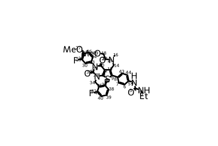 CCNC(=O)Nc1ccc(-c2sc3c(c2CN(C)CCOC)c(=O)n(-c2ccc(OC)c(F)c2)c(=O)n3Cc2c(F)cccc2F)cc1